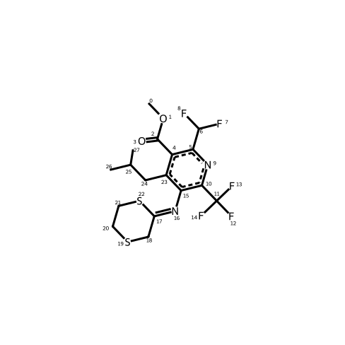 COC(=O)c1c(C(F)F)nc(C(F)(F)F)c(N=C2CSCCS2)c1CC(C)C